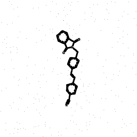 N#Cc1ccc(/C=C/c2ccc(CN3C(=O)c4ccccc4C3=O)cc2)cc1